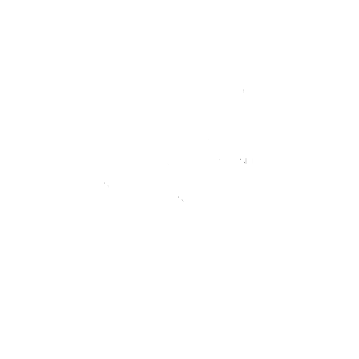 O=C(Nc1cccc(C(F)(F)F)c1)c1cc(-c2ccccc2)n(CCCN2CCOCC2)c1C(F)(F)F